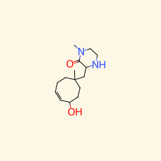 CN1CCNC(CC2(C)CCC=CC(O)CC2)C1=O